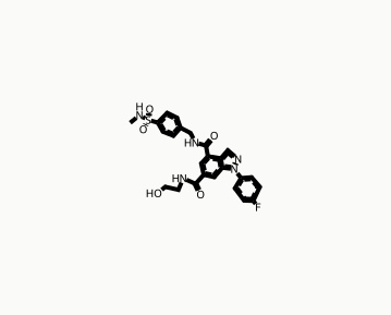 CNS(=O)(=O)c1ccc(CNC(=O)c2cc(C(=O)NCCO)cc3c2cnn3-c2ccc(F)cc2)cc1